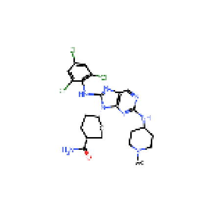 CC(=O)N1CCC(Nc2ncc3nc(Nc4c(Cl)cc(Cl)cc4Cl)n([C@H]4CC[C@H](C(N)=O)CC4)c3n2)CC1